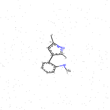 CCCCNc1ccccc1-c1cc(C)[nH]c1C